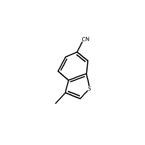 Cc1csc2cc(C#N)ccc12